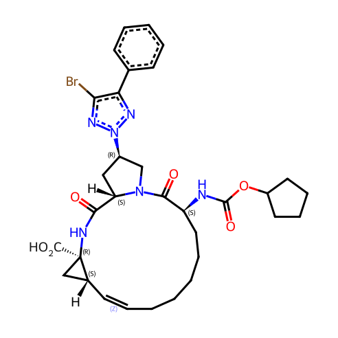 O=C(N[C@H]1CCCCC/C=C\[C@@H]2C[C@@]2(C(=O)O)NC(=O)[C@@H]2C[C@@H](n3nc(Br)c(-c4ccccc4)n3)CN2C1=O)OC1CCCC1